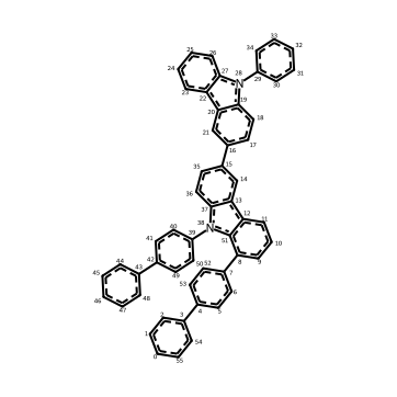 c1ccc(-c2ccc(-c3cccc4c5cc(-c6ccc7c(c6)c6ccccc6n7-c6ccccc6)ccc5n(-c5ccc(-c6ccccc6)cc5)c34)cc2)cc1